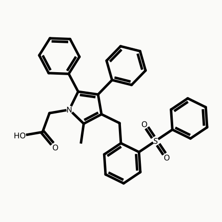 Cc1c(Cc2ccccc2S(=O)(=O)c2ccccc2)c(-c2ccccc2)c(-c2ccccc2)n1CC(=O)O